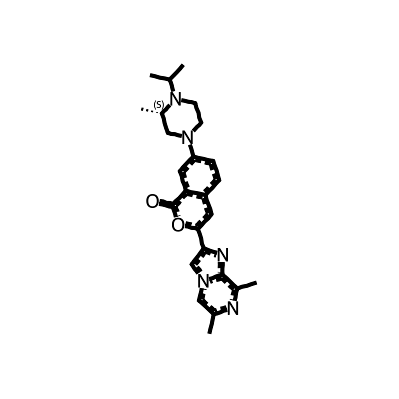 Cc1cn2cc(-c3cc4ccc(N5CCN(C(C)C)[C@@H](C)C5)cc4c(=O)o3)nc2c(C)n1